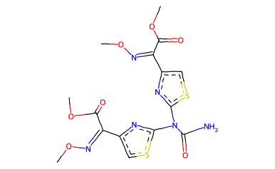 CON=C(C(=O)OC)c1csc(N(C(N)=O)c2nc(C(=NOC)C(=O)OC)cs2)n1